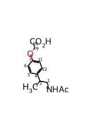 CC(=O)NCC(C)c1ccc(OCC(=O)O)cc1